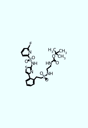 CC(C)(C)OC(=O)NCCNS(=O)(=O)CCc1ccccc1-c1csc(NS(=O)(=O)c2cccc(F)n2)n1